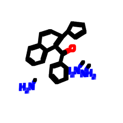 CN.CN.CN.O=C(c1ccccc1)c1c(C2C=CC=C2)ccc2ccccc12